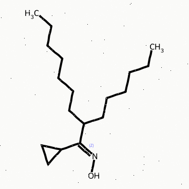 CCCCCCCC(CCCCCC)/C(=N/O)C1CC1